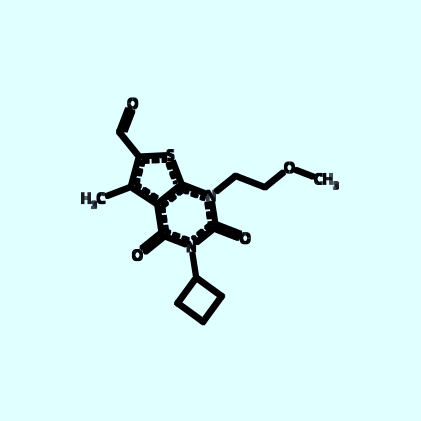 COCCn1c(=O)n(C2CCC2)c(=O)c2c(C)c(C=O)sc21